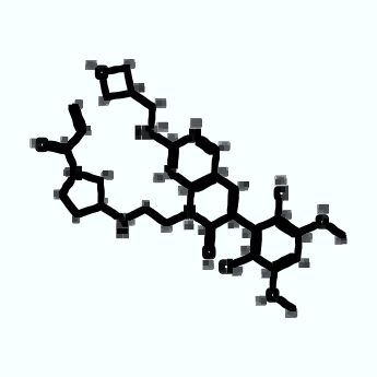 C=CC(=O)N1CCC(NCCn2c(=O)c(-c3c(Cl)c(OC)cc(OC)c3Cl)cc3cnc(NCC4COC4)nc32)C1